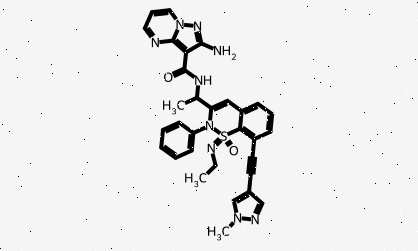 CCN=S1(=O)c2c(C#Cc3cnn(C)c3)cccc2C=C(C(C)NC(=O)c2c(N)nn3cccnc23)N1c1ccccc1